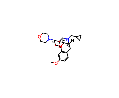 COc1ccc2c(c1)[C@]13CCN(CC4CC4)[C@H](C2)[C@]12CC[C@@](N1CCOCC1)(CO2)C3